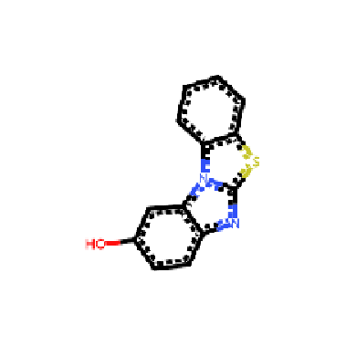 Oc1ccc2nc3sc4ccccc4n3c2c1